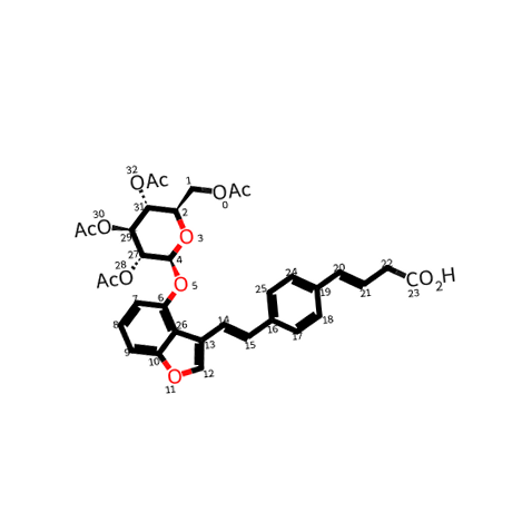 CC(=O)OC[C@H]1O[C@@H](Oc2cccc3occ(C=Cc4ccc(/C=C/CC(=O)O)cc4)c23)[C@H](OC(C)=O)[C@@H](OC(C)=O)[C@@H]1OC(C)=O